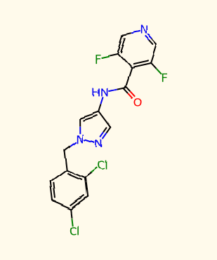 O=C(Nc1cnn(Cc2ccc(Cl)cc2Cl)c1)c1c(F)cncc1F